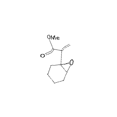 C=C(C(=O)OC)C12CCCCC1O2